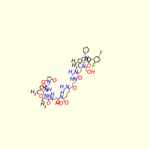 CC(C)[C@H](NC(=O)CN1C(=O)C=CC1=O)C(=O)N[C@@H](C)C(=O)NCCC(=O)N[C@@H](CCCC(N)C(=O)CCNC(=O)[C@@H](N)CCN(C(=O)CO)[C@@H](c1cc(-c2cc(F)ccc2F)cn1Cc1ccccc1)C(C)(C)C)C(=O)O